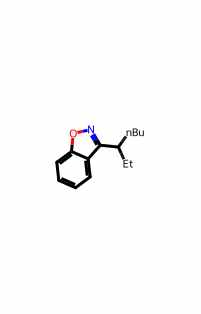 CCCCC(CC)c1noc2ccccc12